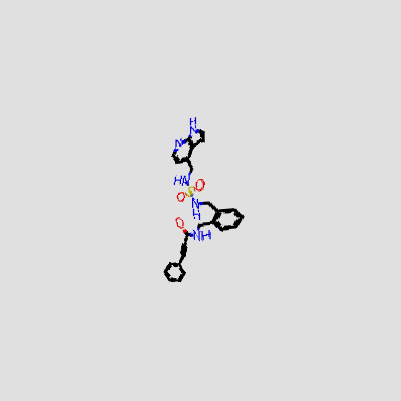 O=C(C#Cc1ccccc1)NCc1ccccc1CNS(=O)(=O)NCc1ccnc2[nH]ccc12